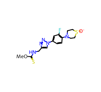 COC(=S)NCc1cn(-c2ccc(N3CC[S+]([O-])CC3)c(F)c2)nn1